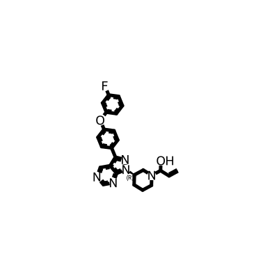 C=CC(O)N1CCC[C@@H](n2nc(-c3ccc(Oc4cccc(F)c4)cc3)c3cncnc32)C1